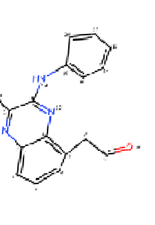 Cc1nc2cccc(CC=O)c2nc1Nc1ccccc1